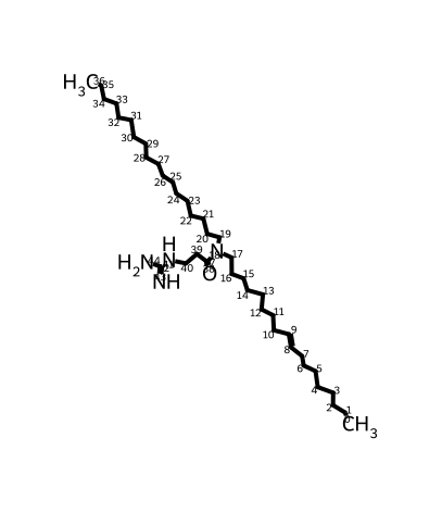 CCCCCCCC/C=C/CCCCCCCCN(CCCCCCCCCCCCCCCCCC)C(=O)CCNC(=N)N